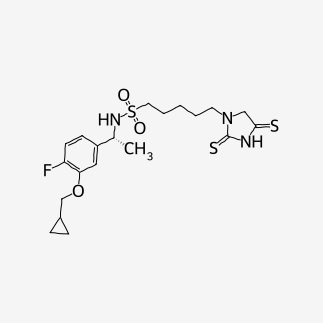 C[C@@H](NS(=O)(=O)CCCCCN1CC(=S)NC1=S)c1ccc(F)c(OCC2CC2)c1